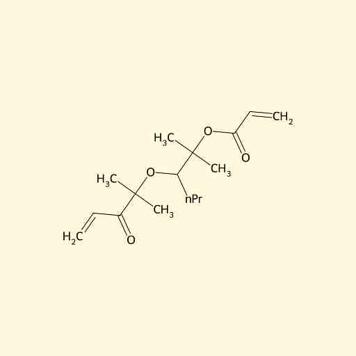 C=CC(=O)OC(C)(C)C(CCC)OC(C)(C)C(=O)C=C